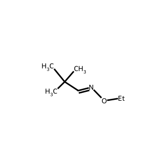 CCON=CC(C)(C)C